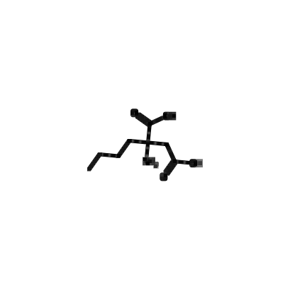 CCCCC(N)(CC(=O)O)C(=O)O